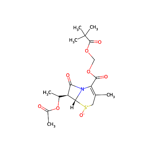 CC(=O)OC(C)[C@H]1C(=O)N2C(C(=O)OCOC(=O)C(C)(C)C)=C(C)C[S+]([O-])[C@H]12